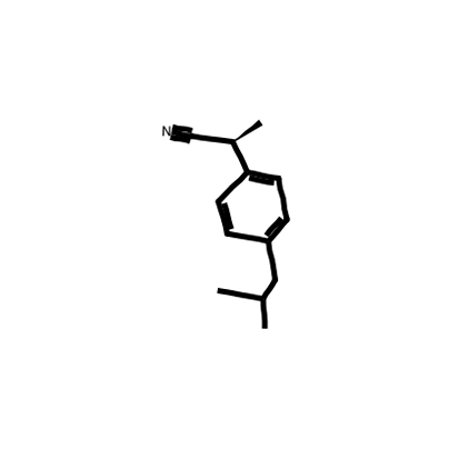 CC(C)Cc1ccc([C@H](C)C#N)cc1